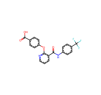 O=C(O)c1ccc(Oc2ncccc2C(=O)Nc2ccc(C(F)(F)F)cc2)cc1